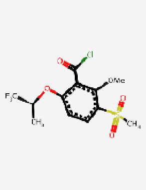 COc1c(S(C)(=O)=O)ccc(O[C@@H](C)C(F)(F)F)c1C(=O)Cl